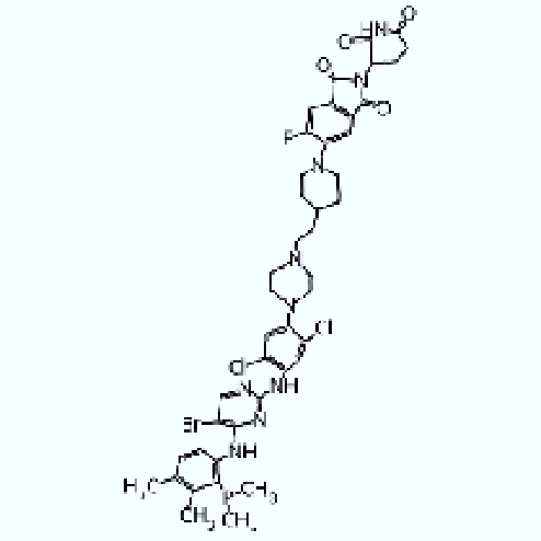 Cc1ccc(Nc2nc(Nc3cc(Cl)c(N4CCN(CCC5CCN(c6cc7c(cc6F)C(=O)N(C6CCC(=O)NC6=O)C7=O)CC5)CC4)cc3Cl)ncc2Br)c(P(C)C)c1C